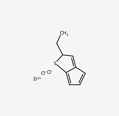 CCC1C=C2C=CC=C2S1.[Cl-].[Cl-].[Zr+2]